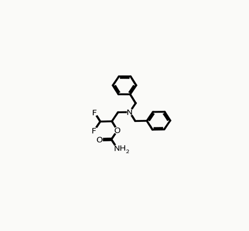 NC(=O)OC(CN(Cc1ccccc1)Cc1ccccc1)C(F)F